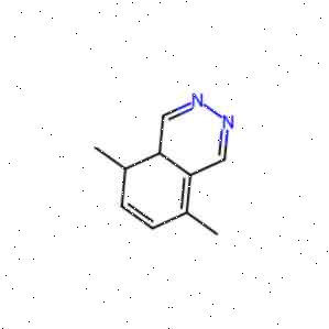 CC1=C2C=NN=CC2C(C)C=C1